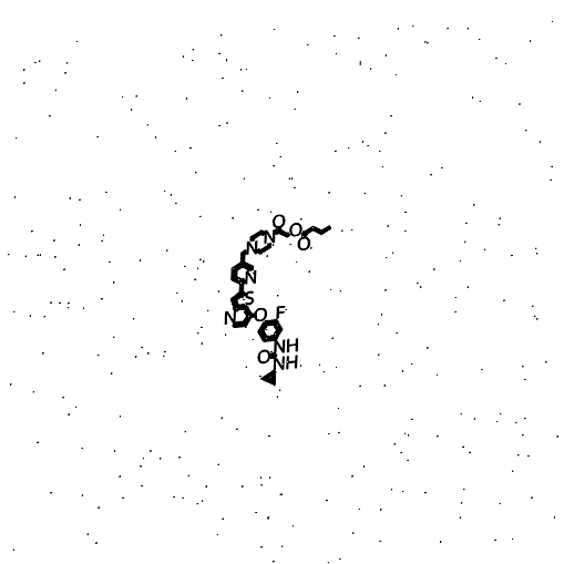 CCCC(=O)OCC(=O)N1CCN(Cc2ccc(-c3cc4nccc(Oc5ccc(NC(=O)NC6CC6)cc5F)c4s3)nc2)CC1